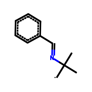 [CH2]C(C)(C)/N=C/c1ccccc1